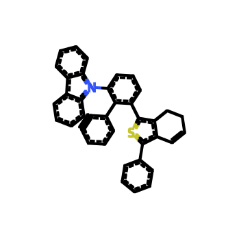 c1cccc(-c2c(-c3sc(-c4ccccc4)c4c3CCC=C4)cccc2-n2c3ccccc3c3ccccc32)c#1